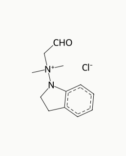 C[N+](C)(CC=O)N1CCc2ccccc21.[Cl-]